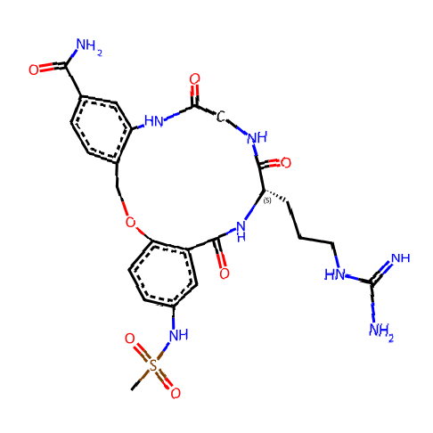 CS(=O)(=O)Nc1ccc2c(c1)C(=O)N[C@@H](CCCNC(=N)N)C(=O)NCC(=O)Nc1cc(C(N)=O)ccc1CO2